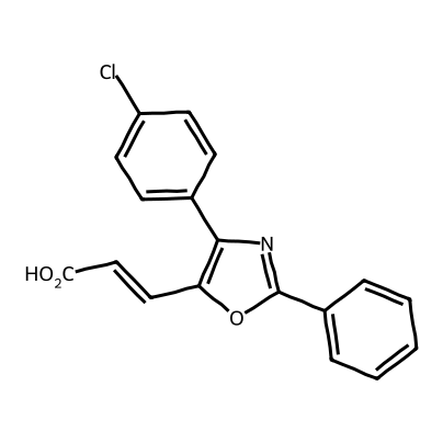 O=C(O)C=Cc1oc(-c2ccccc2)nc1-c1ccc(Cl)cc1